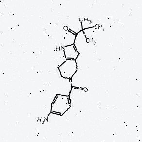 CC(C)(C)C(=O)c1cc2c([nH]1)CCN(C(=O)c1ccc(N)cc1)C2